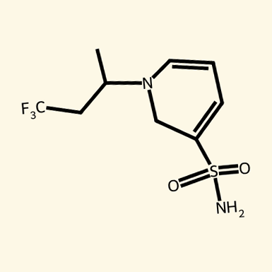 CC(CC(F)(F)F)N1C=CC=C(S(N)(=O)=O)C1